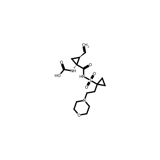 C=C[C@@H]1C[C@]1(NC(=O)O)C(=O)NS(=O)(=O)C1(CCN2CCOCC2)CC1